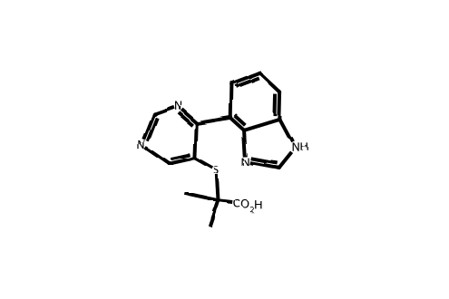 CC(C)(Sc1cncnc1-c1cccc2[nH]cnc12)C(=O)O